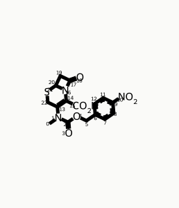 CN(C(=O)OCc1ccc([N+](=O)[O-])cc1)C1=C(C(=O)O)N2C(=O)CC2SC1